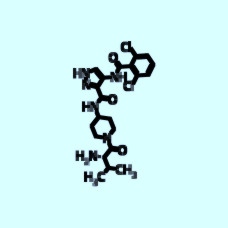 CC(C)[C@H](N)C(=O)N1CCC(NC(=O)c2n[nH]cc2NC(=O)c2c(Cl)cccc2Cl)CC1